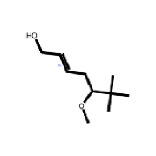 COC(C/C=C/CO)C(C)(C)C